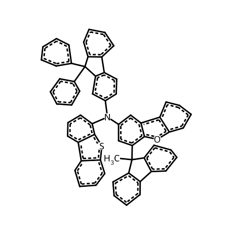 CC1(c2cc(N(c3ccc4c(c3)C(c3ccccc3)(c3ccccc3)c3ccccc3-4)c3cccc4c3sc3ccccc34)cc3c2oc2ccccc23)c2ccccc2-c2ccccc21